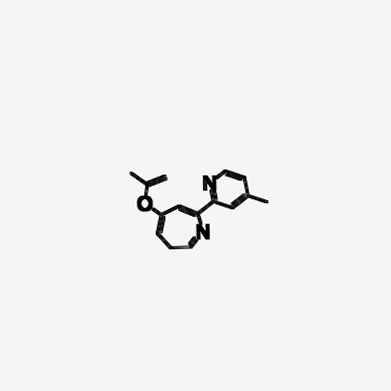 C=C(C)OC1=CCC=NC(c2cc(C)ccn2)=C1